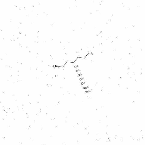 CCCCCCN.[Nb+5].[Nb+5].[O-2].[O-2].[O-2].[O-2].[O-2]